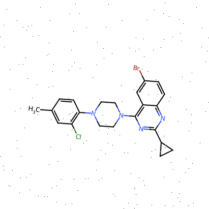 Cc1ccc(N2CCN(c3nc(C4CC4)nc4ccc(Br)cc34)CC2)c(Cl)c1